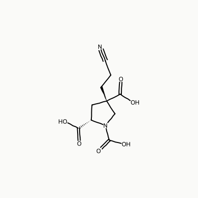 N#CCC[C@]1(C(=O)O)C[C@@H](C(=O)O)N(C(=O)O)C1